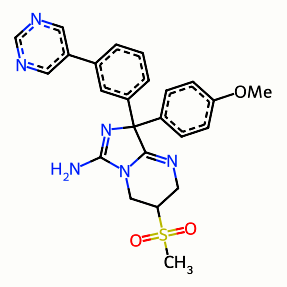 COc1ccc(C2(c3cccc(-c4cncnc4)c3)N=C(N)N3CC(S(C)(=O)=O)CN=C32)cc1